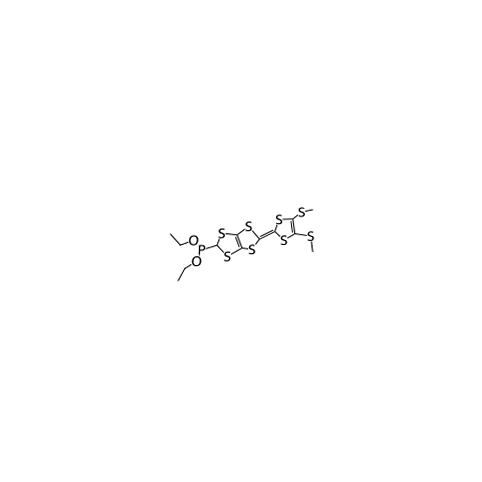 CCOP(OCC)C1SC2=C(SC(=C3SC(SC)=C(SC)S3)S2)S1